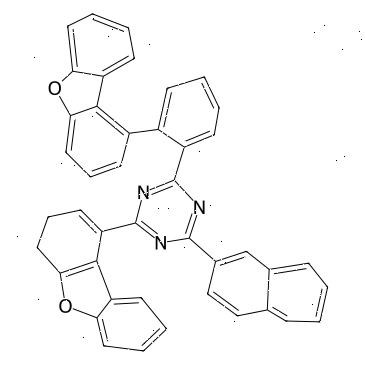 C1=C(c2nc(-c3ccc4ccccc4c3)nc(-c3ccccc3-c3cccc4oc5ccccc5c34)n2)c2c(oc3ccccc23)CC1